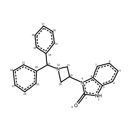 O=c1[nH]c2ccccc2n1C1CN(C(c2ccccc2)c2ccccc2)C1